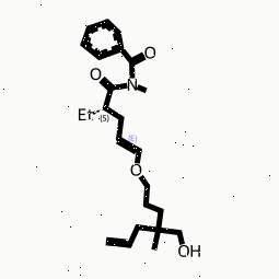 C=CCC(C)(CO)CCCO/C=C/C[C@H](CC)C(=O)N(C)C(=O)c1ccccc1